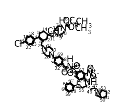 CC(C)(C)OC(=O)N1CCN(C[C@]2(C)CCC(c3ccc(Cl)cc3)=C(CN3CCN(c4ccc(C(=O)NS(=O)(=O)c5ccc(N[C@H](CCN6CC7CCC6C7)CSc6ccccc6)c([N+](=O)[O-])c5)cc4)CC3)C2)CC1